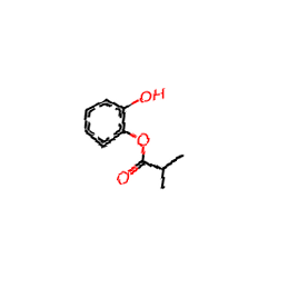 CC(C)C(=O)Oc1ccccc1O